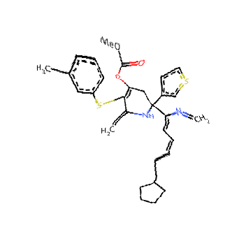 C=N/C(=C\C=C/CC1CCCC1)C1(c2ccsc2)CC(OC(=O)OC)=C(Sc2cccc(C)c2)C(=C)N1